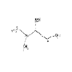 CN(C)CCO.[NaH]